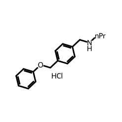 CCCNCc1ccc(COc2ccccc2)cc1.Cl